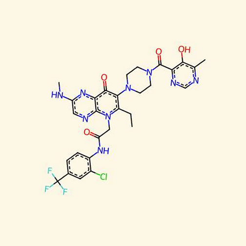 CCc1c(N2CCN(C(=O)c3ncnc(C)c3O)CC2)c(=O)c2nc(NC)cnc2n1CC(=O)Nc1ccc(C(F)(F)F)cc1Cl